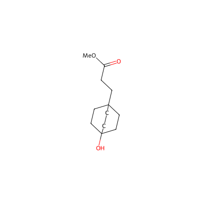 COC(=O)CCC12CCC(O)(CC1)CC2